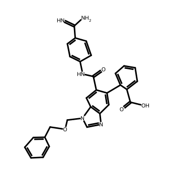 N=C(N)c1ccc(NC(=O)c2cc3c(cc2-c2ccccc2C(=O)O)ncn3COCc2ccccc2)cc1